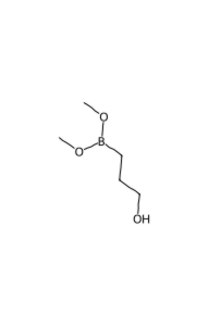 COB(CCCO)OC